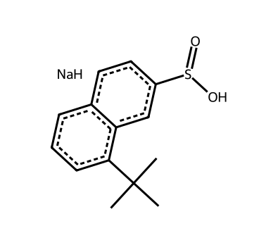 CC(C)(C)c1cccc2ccc(S(=O)O)cc12.[NaH]